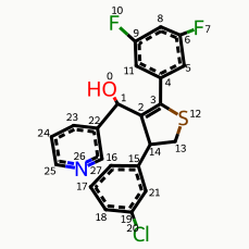 OC(C1=C(c2cc(F)cc(F)c2)SCC1c1cccc(Cl)c1)c1cccnc1